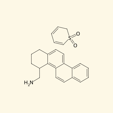 NCC1CCCc2ccc3c(ccc4ccccc43)c21.O=S1(=O)C=CC=CC1